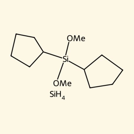 CO[Si](OC)(C1CCCC1)C1CCCC1.[SiH4]